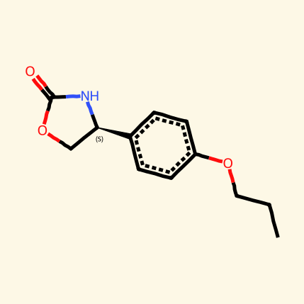 CCCOc1ccc([C@H]2COC(=O)N2)cc1